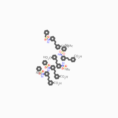 CC(=O)Nc1ccc(S(=O)(=O)Nc2cccc(CCc3cccc(C(=O)O)c3)c2)cc1.CCCCS(=O)(=O)Nc1cccc(CCc2cccc(C(=O)O)c2)c1.O=C(O)c1cccc(CCc2cccc(NS(=O)(=O)Cc3ccccc3)c2)c1.O=C(O)c1cccc(CCc2cccc(NS(=O)(=O)c3ccccc3)c2)c1.O=C(O)c1cccc(CCc2cccc(NS(=O)(=O)c3ccccc3[N+](=O)[O-])c2)c1